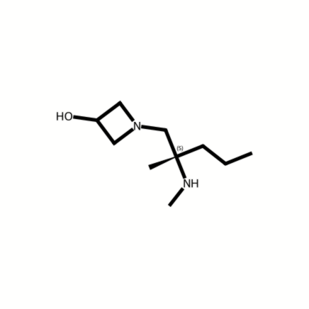 CCC[C@@](C)(CN1CC(O)C1)NC